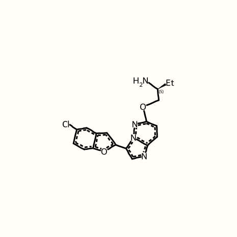 CC[C@H](N)COc1ccc2ncc(-c3cc4cc(Cl)ccc4o3)n2n1